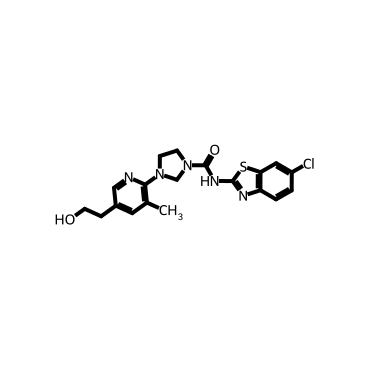 Cc1cc(CCO)cnc1N1CCN(C(=O)Nc2nc3ccc(Cl)cc3s2)C1